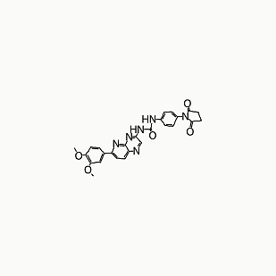 COc1ccc(-c2ccc3ncc(NC(=O)Nc4ccc(N5C(=O)CCC5=O)cc4)nc3n2)cc1OC